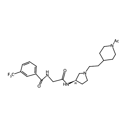 CC(=O)N1CCC(CCN2CC[C@@H](NC(=O)CNC(=O)c3cccc(C(F)(F)F)c3)C2)CC1